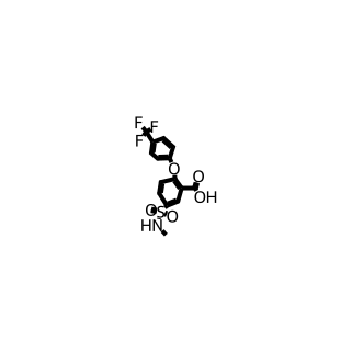 CNS(=O)(=O)c1ccc(Oc2ccc(C(F)(F)F)cc2)c(C(=O)O)c1